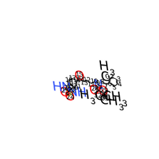 Cc1ccccc1CCN(CCCCC(=O)c1ccc2c(c1)NS(=O)(=O)N2)C(=O)OC(C)(C)C